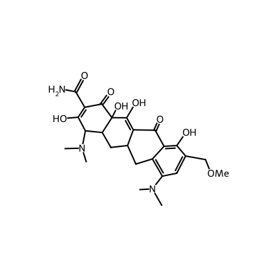 COCc1cc(N(C)C)c2c(c1O)C(=O)C1=C(O)C3(O)C(=O)C(C(N)=O)=C(O)C(N(C)C)C3CC1C2